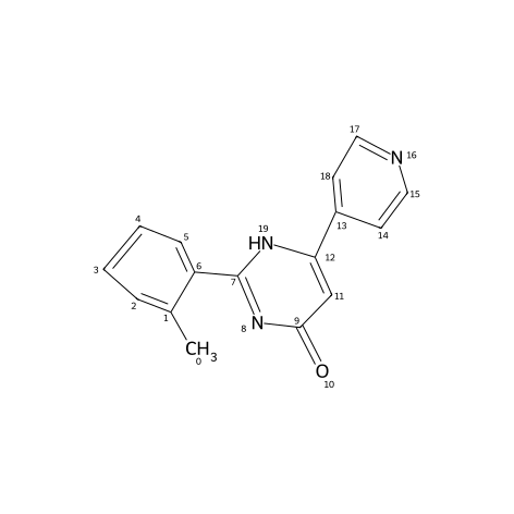 Cc1ccccc1-c1nc(=O)cc(-c2ccncc2)[nH]1